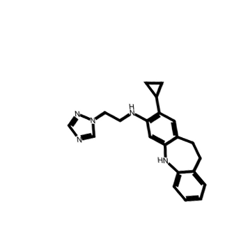 c1ccc2c(c1)CCc1cc(C3CC3)c(NCCn3cncn3)cc1N2